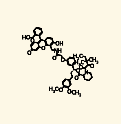 CCC(C)(C)C(=O)C(=O)N1CCCC[C@H]1C(=O)O[C@H](CCc1ccc(OC)c(OC)c1)c1cccc(OCC(=O)NCc2c(O)ccc3c(-c4ccccc4C(=O)O)c4ccc(=O)cc-4oc23)c1